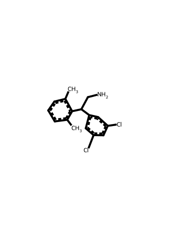 Cc1cccc(C)c1C(CN)c1cc(Cl)cc(Cl)c1